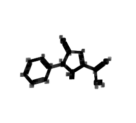 CC(=O)c1cc(=O)n(-c2ccccc2)[nH]1